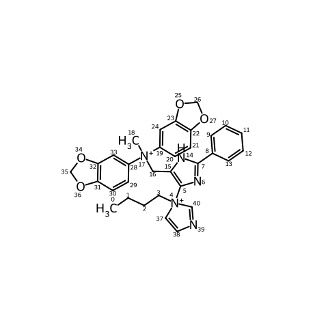 CCCC[N+]1(c2nc(-c3ccccc3)[nH]c2C[N+](C)(c2ccc3c(c2)OCO3)c2ccc3c(c2)OCO3)C=CN=C1